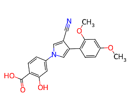 COc1ccc(-c2cn(-c3ccc(C(=O)O)c(O)c3)cc2C#N)c(OC)c1